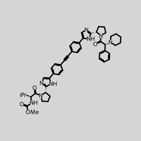 COC(=O)N[C@H](C(=O)N1CCC[C@H]1c1ncc(-c2ccc(C#Cc3ccc(-c4cnc([C@@H]5CCCN5C(=O)[C@@H](c5ccccc5)N5CCCCC5)[nH]4)cc3)cc2)[nH]1)C(C)C